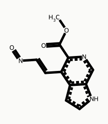 COC(=O)c1ncc2[nH]ccc2c1/C=C/N=O